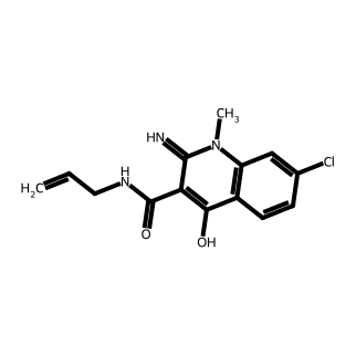 C=CCNC(=O)c1c(O)c2ccc(Cl)cc2n(C)c1=N